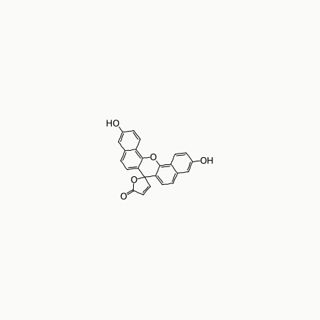 O=C1C=CC2(O1)c1ccc3cc(O)ccc3c1Oc1c2ccc2cc(O)ccc12